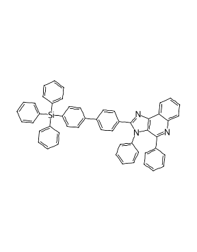 c1ccc(-c2nc3ccccc3c3nc(-c4ccc(-c5ccc([Si](c6ccccc6)(c6ccccc6)c6ccccc6)cc5)cc4)n(-c4ccccc4)c23)cc1